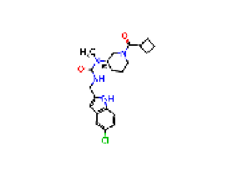 CN(C(=O)NCc1cc2cc(Cl)ccc2[nH]1)[C@@H]1CCCN(C(=O)C2CCC2)C1